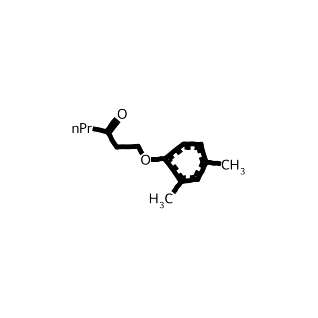 CCCC(=O)CCOc1ccc(C)cc1C